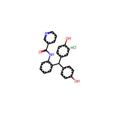 Cl.O=C(Nc1ccccc1C(c1ccc(O)cc1)c1ccc(O)cc1)c1cccnc1